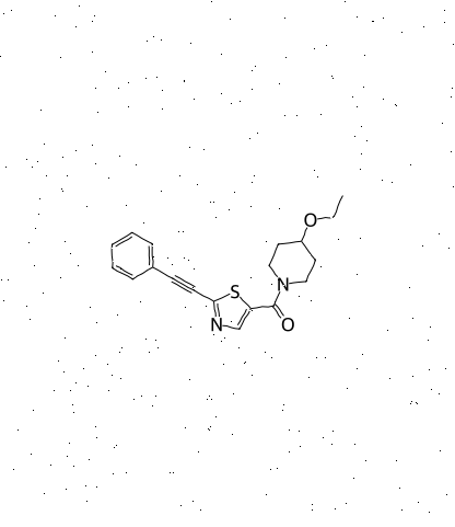 CCOC1CCN(C(=O)c2cnc(C#Cc3ccccc3)s2)CC1